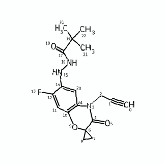 C#CCN1C(=O)C2(CC2)Oc2cc(F)c(NNC(=O)C(C)(C)C)cc21